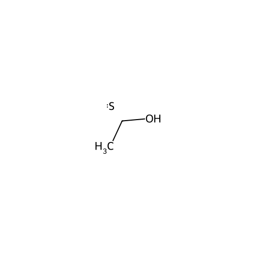 CCO.[S]